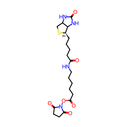 O=C(CCCC[C@H]1SCC2NC(=O)NC21)NCCCCCC(=O)ON1C(=O)CCC1=O